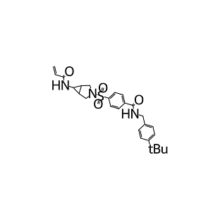 C=CC(=O)NC1C2CN(S(=O)(=O)c3ccc(C(=O)NCc4ccc(C(C)(C)C)cc4)cc3)CC21